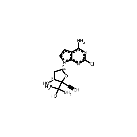 BC(B)(O)C1(C#C)O[C@@H](n2ccc3c(N)nc(Cl)nc32)C[C@@H]1O